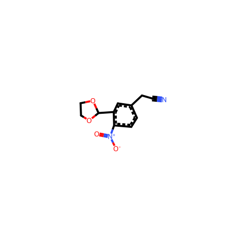 N#CCc1ccc([N+](=O)[O-])c(C2OCCO2)c1